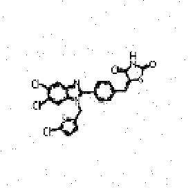 O=C1NC(=O)/C(=C\c2ccc(-c3nc4cc(Cl)c(Cl)cc4n3Cc3ccc(Cl)s3)cc2)S1